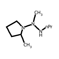 CCCNN(C)N1CCCC1C